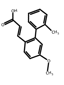 COc1ccc(/C=C/C(=O)O)c(-c2ccccc2C)c1